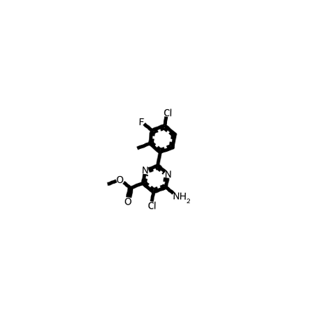 COC(=O)c1nc(-c2ccc(Cl)c(F)c2C)nc(N)c1Cl